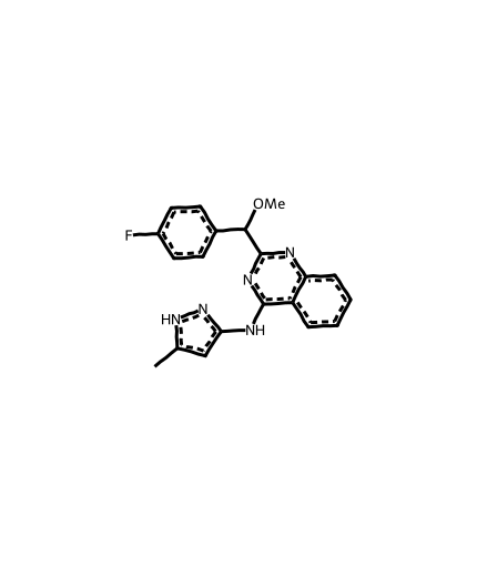 COC(c1ccc(F)cc1)c1nc(Nc2cc(C)[nH]n2)c2ccccc2n1